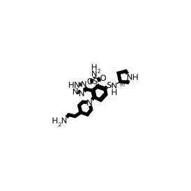 NCCC1CCN(c2ccc(SN[C@@H]3CCNC3)c(S(N)(=O)=O)c2-c2nn[nH]n2)CC1